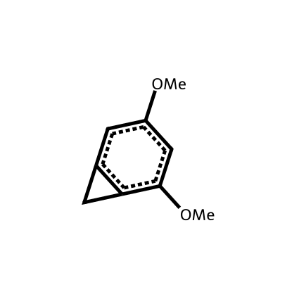 COc1cc2c(c(OC)c1)C2